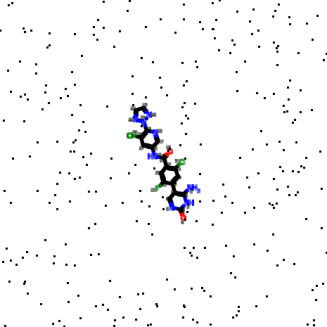 Nc1[nH]c(=O)ncc1-c1cc(Cl)c(C(=O)Nc2cnc(-n3nccn3)c(Cl)c2)cc1F